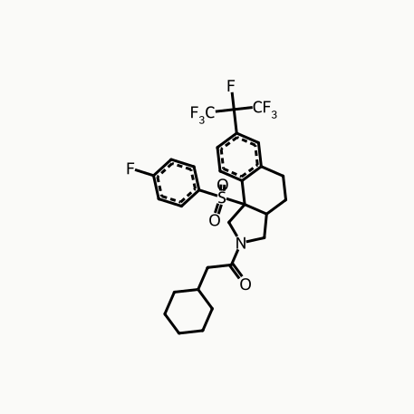 O=C(CC1CCCCC1)N1CC2CCc3cc(C(F)(C(F)(F)F)C(F)(F)F)ccc3C2(S(=O)(=O)c2ccc(F)cc2)C1